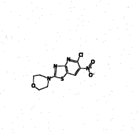 O=[N+]([O-])c1cc2sc(N3CCOCC3)nc2nc1Cl